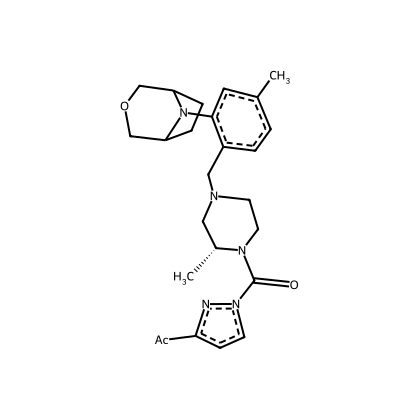 CC(=O)c1ccn(C(=O)N2CCN(Cc3ccc(C)cc3N3C4CCC3COC4)C[C@H]2C)n1